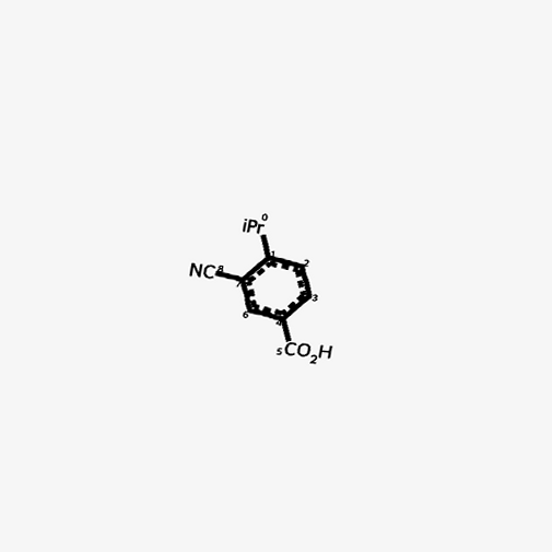 CC(C)c1ccc(C(=O)O)cc1C#N